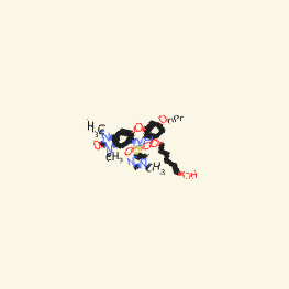 CCCOc1cc(OCCCCCCO)cc(Oc2cc3c(cc2NS(=O)(=O)c2cn(C)cn2)n(C)c(=O)n3C)c1